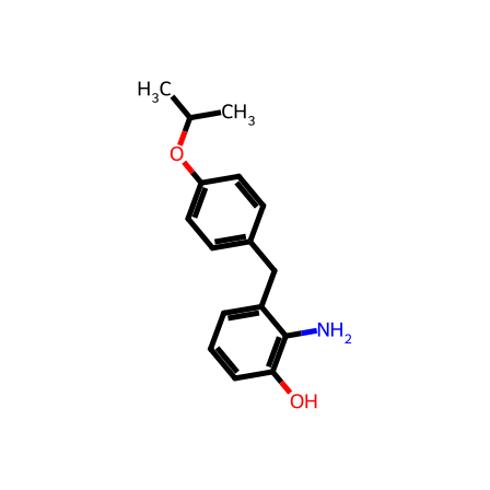 CC(C)Oc1ccc(Cc2cccc(O)c2N)cc1